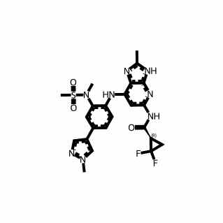 Cc1nc2c(Nc3ccc(-c4cnn(C)c4)cc3N(C)S(C)(=O)=O)cc(NC(=O)[C@H]3CC3(F)F)nc2[nH]1